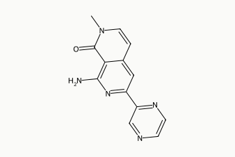 Cn1ccc2cc(-c3cnccn3)nc(N)c2c1=O